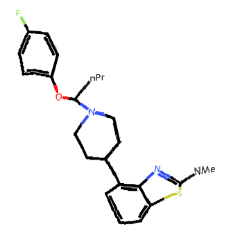 CCCC(Oc1ccc(F)cc1)N1CCC(c2cccc3sc(NC)nc23)CC1